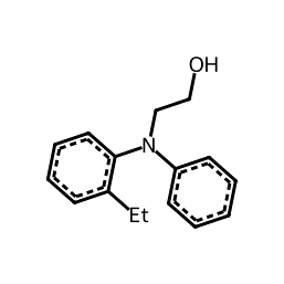 CCc1ccccc1N(CCO)c1ccccc1